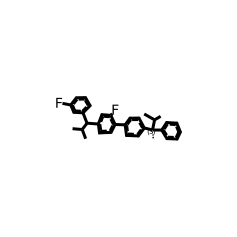 CC(C)C(c1cccc(F)c1)c1ccc(-c2ccc([C@](C)(c3ccccc3)C(C)C)cc2)c(F)c1